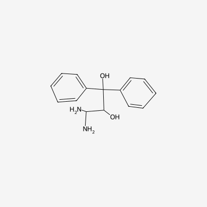 NC(N)C(O)C(O)(c1ccccc1)c1ccccc1